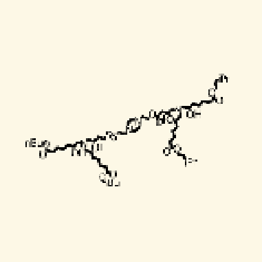 CCCCOC(=O)CCCCC(O)CN(CCCCSSCCN1CCN(CCOC(=O)CCCN(CC(O)CCCCC(=O)OCCC(C)C)CC(O)CCCCC(=O)OCCC(C)C)CC1)CC(O)CCCCC(=O)OCCCC